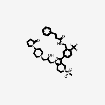 CS(=O)(=O)N1CCc2c(c(-c3ccc(C(F)(F)F)c(CNC(=O)/C=C/c4ccccc4)c3)nn2CC(O)CN2CCC(N3CCCC3=O)CC2)C1